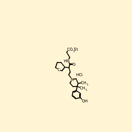 CCOC(=O)CCNC(=O)C(CCN1CCC(C)(c2cccc(O)c2)C(C)C1)C1CCCCC1.Cl